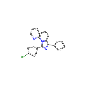 Brc1ccc(-c2nc(-c3ccccc3)c3ccc4cccnc4n23)cc1